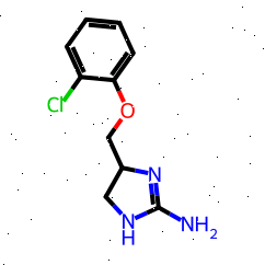 NC1=NC(COc2ccccc2Cl)CN1